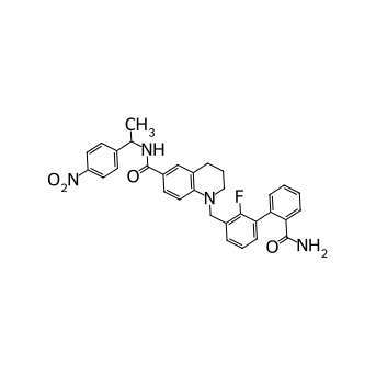 CC(NC(=O)c1ccc2c(c1)CCCN2Cc1cccc(-c2ccccc2C(N)=O)c1F)c1ccc([N+](=O)[O-])cc1